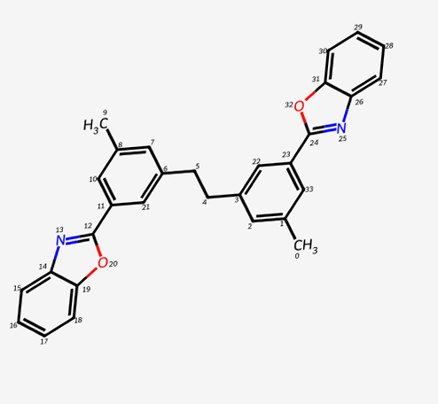 Cc1cc(CCc2cc(C)cc(-c3nc4ccccc4o3)c2)cc(-c2nc3ccccc3o2)c1